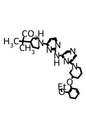 CCOC1=C(OC2CCCN(c3cncc(Nc4nccc(N5CCC(C(C)(C)C(=O)O)CC5)n4)n3)C2)C=CCC1